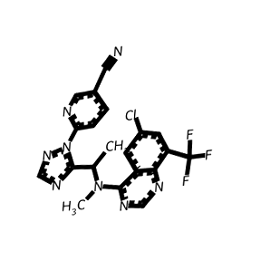 CC(c1ncnn1-c1ccc(C#N)cn1)N(C)c1ncnc2c(C(F)(F)F)cc(Cl)cc12